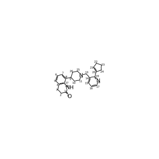 O=C1CCc2cccc(C3CCN(Cc4cccnc4C4=CCCC4)CC3)c2N1